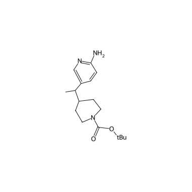 CC(c1ccc(N)nc1)C1CCN(C(=O)OC(C)(C)C)CC1